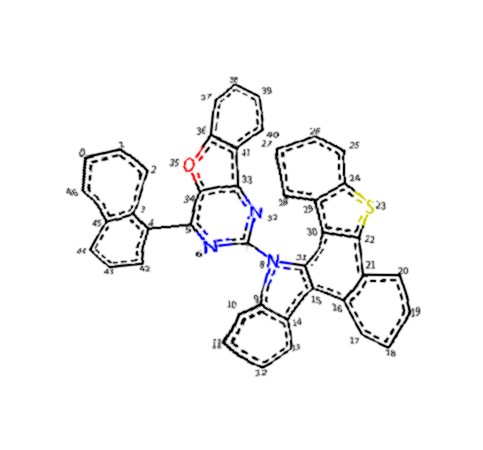 c1ccc2c(-c3nc(-n4c5ccccc5c5c6ccccc6c6sc7ccccc7c6c54)nc4c3oc3ccccc34)cccc2c1